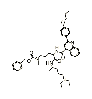 CCCOc1ccc(-c2cc(C(=O)NC(CCCNC(=O)OCc3ccccc3)C(=O)NC(C)CCCN(CC)CC)c3ccccc3n2)cc1